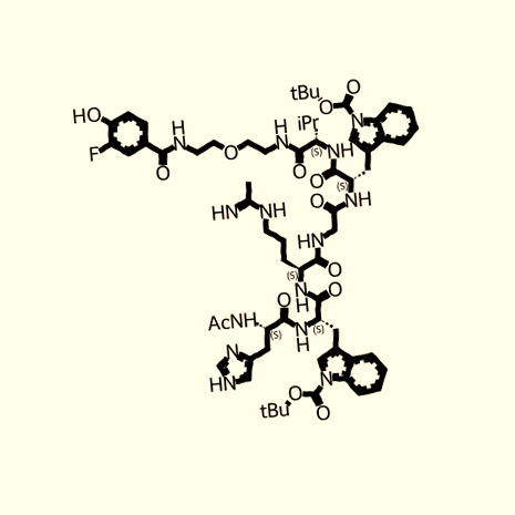 CC(=N)NCCC[C@H](NC(=O)[C@H](Cc1cn(C(=O)OC(C)(C)C)c2ccccc12)NC(=O)[C@H](Cc1c[nH]cn1)NC(C)=O)C(=O)NCC(=O)N[C@@H](Cc1cn(C(=O)OC(C)(C)C)c2ccccc12)C(=O)N[C@H](C(=O)NCCOCCNC(=O)c1ccc(O)c(F)c1)C(C)C